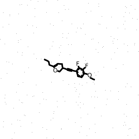 CCCC1=CCC(C#Cc2ccc(OCC)c(F)c2F)CO1